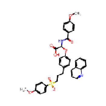 COc1ccc(C(=O)NC(Oc2ccc(CCCS(=O)(=O)c3ccc(OC)cc3)cc2)C(=O)O)cc1.c1ccc2ncccc2c1